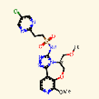 CCOC[C@H]1COc2c(ccnc2OC)-c2nnc(NS(=O)(=O)CCc3ncc(Cl)cn3)n21